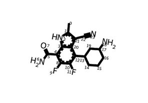 Cc1[nH]c2c(C(N)=O)c(F)c(F)c(C3CCCC(N)C3)c2c1C#N